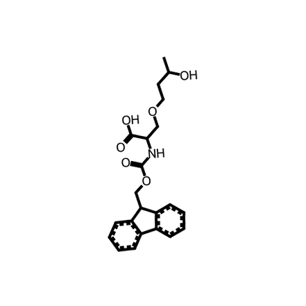 CC(O)CCOCC(NC(=O)OCC1c2ccccc2-c2ccccc21)C(=O)O